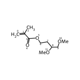 C=C(C)C(=O)OCCC(COC)OC